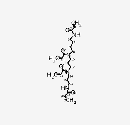 C=CC(=O)NCCCCN(CCCN(CCCNC(=O)C=C)C(=O)C=C)C(=O)C=C